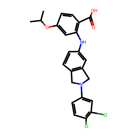 CC(C)Oc1ccc(C(=O)O)c(Nc2ccc3c(c2)CN(c2ccc(Cl)c(Cl)c2)C3)c1